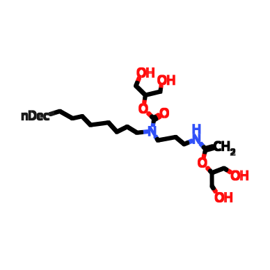 C=C(NCCCN(CCCCCCCCCCCCCCCCCC)C(=O)OC(CO)CO)OC(CO)CO